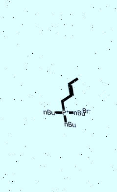 CC=CC[P+](CCCC)(CCCC)CCCC.[Br-]